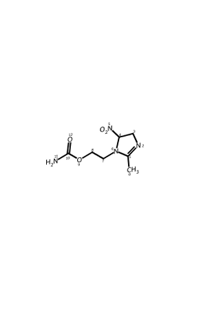 CC1=NCC([N+](=O)[O-])N1CCOC(N)=O